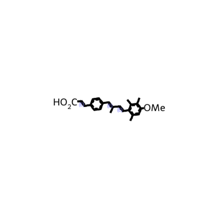 COc1cc(C)c(/C=C/C(C)=C/c2ccc(/C=C/C(=O)O)cc2)c(C)c1C